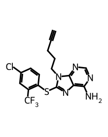 C#CCCCn1c(Sc2ccc(Cl)cc2C(F)(F)F)nc2c(N)ncnc21